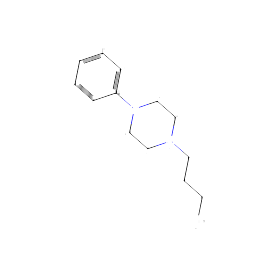 CCC(C)CCCN1CCN(c2ccccc2)CC1